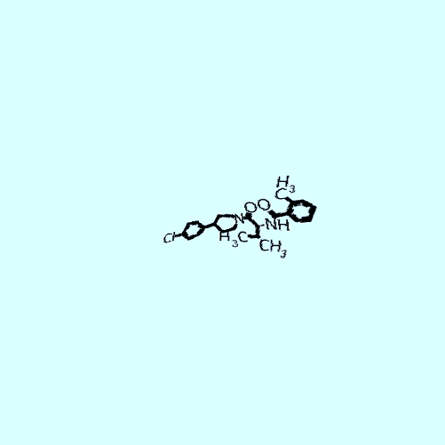 Cc1ccccc1C(=O)N[C@@H](C(=O)N1CCC(c2ccc(Cl)cc2)CC1)C(C)C